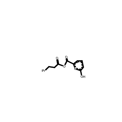 CC(C)CCC(=O)OC(=O)c1cccc(O)n1